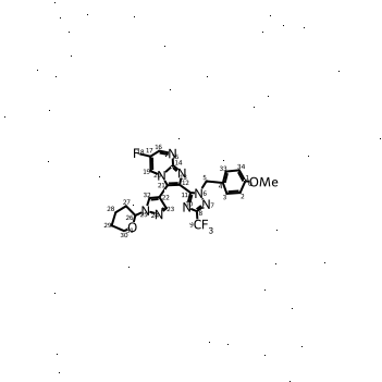 COc1ccc(Cn2nc(C(F)(F)F)nc2-c2nc3ncc(F)cn3c2-c2cnn(C3CCCCO3)c2)cc1